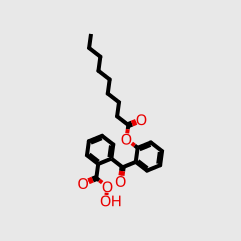 CCCCCCCCC(=O)Oc1ccccc1C(=O)c1ccccc1C(=O)OO